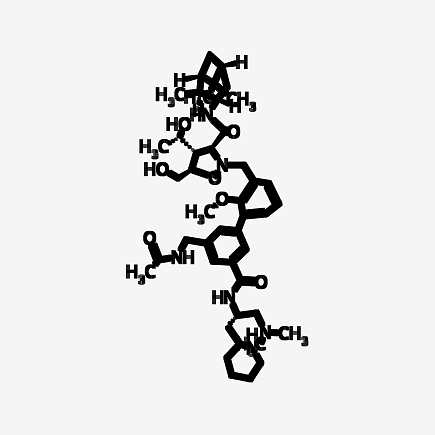 COc1c(CN2O[C@@H](CO)[C@H]([C@H](C)O)[C@H]2C(=O)N[C@H]2C[C@H]3C[C@@H]([C@@H]2C)C3(C)C)cccc1-c1cc(CNC(C)=O)cc(C(=O)N[C@@H](CC2CCCCN2)CN(C)C)c1